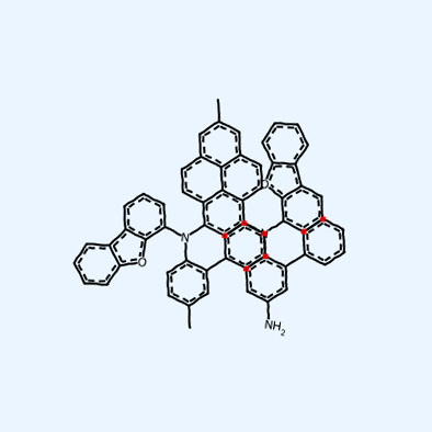 Cc1ccc(N(c2cc(N(c3ccc(N)cc3-c3ccccc3)c3cccc4c3oc3ccccc34)c3ccc4cc(C)cc5ccc2c3c54)c2cccc3c2oc2ccccc23)c(-c2ccccc2)c1